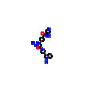 NC(CC(=O)N1CCC(c2c[nH]c3ccccc23)CC1)c1ccc(C(=O)Nc2ccncc2)cc1